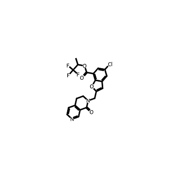 CC(OC(=O)c1cc(Cl)cc2cc(CN3CCc4ccncc4C3=O)oc12)C(F)(F)F